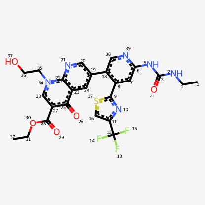 CCNC(=O)Nc1cc(-c2nc(C(F)(F)F)cs2)c(-c2cnc3c(c2)c(=O)c(C(=O)OCC)cn3CCO)cn1